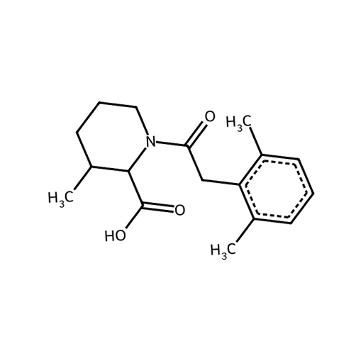 Cc1cccc(C)c1CC(=O)N1CCCC(C)C1C(=O)O